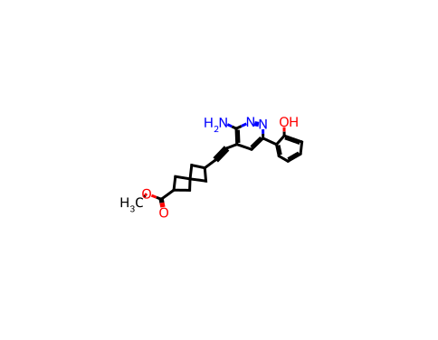 COC(=O)C1CC2(CC(C#Cc3cc(-c4ccccc4O)nnc3N)C2)C1